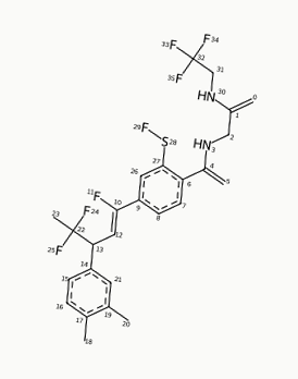 C=C(CNC(=C)c1ccc(/C(F)=C/C(c2ccc(C)c(C)c2)C(C)(F)F)cc1SF)NCC(F)(F)F